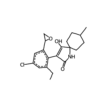 CCc1cc(Cl)cc(C2CO2)c1C1=C(O)C2(CCC(C)CC2)NC1=O